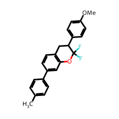 COc1ccc(C2Cc3ccc(-c4ccc(C)cc4)cc3OC2(F)F)cc1